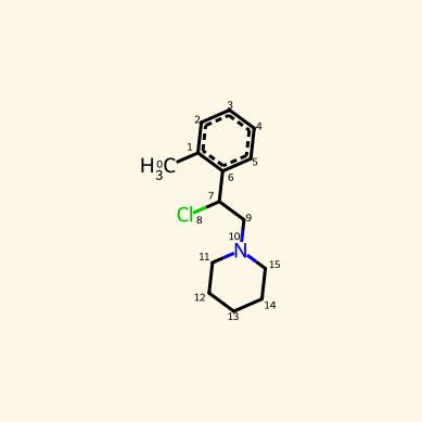 Cc1ccccc1C(Cl)CN1CCCCC1